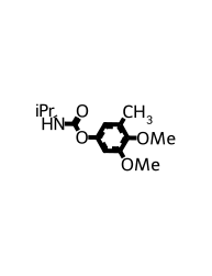 COc1cc(OC(=O)NC(C)C)cc(C)c1OC